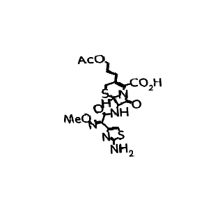 CO/N=C(\C(=O)N[C@@H]1C(=O)N2C(C(=O)O)=C(/C=C/COC(C)=O)CS[C@@H]12)c1csc(N)n1